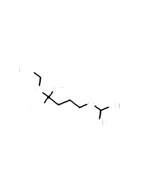 CCOC(C)(C)CCCOC(C)C